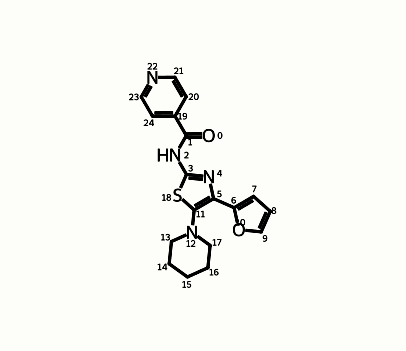 O=C(Nc1nc(-c2ccco2)c(N2CCCCC2)s1)c1ccncc1